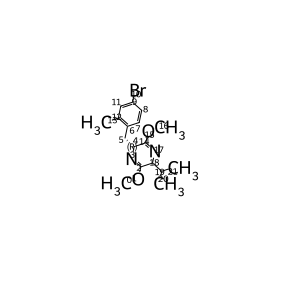 COC1=N[C@H](Cc2ccc(Br)cc2C)C(OC)=NC1C(C)C